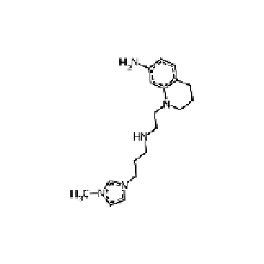 C[n+]1ccn(CCCNCCN2CCCc3ccc(N)cc32)c1